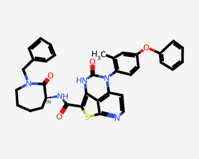 Cc1cc(Oc2ccccc2)ccc1N1C(=O)Nc2c(C(=O)N[C@H]3CCCCN(Cc4ccccc4)C3=O)sc3nccc1c23